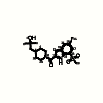 CC(C)(O)CC1CCN(C(=O)c2cc3cc(F)cc(S(C)(=O)=O)c3[nH]2)CC1